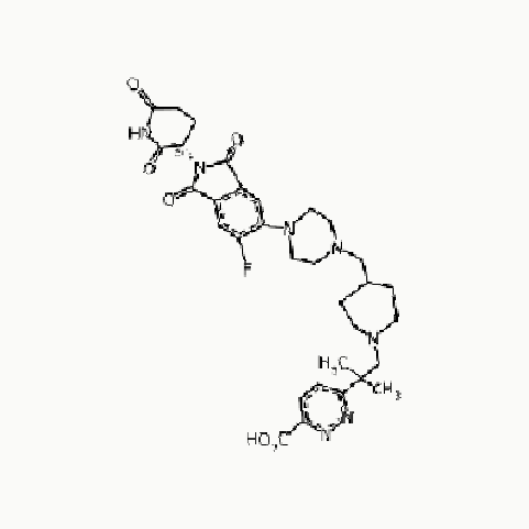 CC(C)(CN1CCC(CN2CCN(c3cc4c(cc3F)C(=O)N([C@H]3CCC(=O)NC3=O)C4=O)CC2)CC1)c1ccc(C(=O)O)nn1